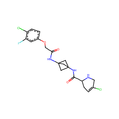 O=C(COc1ccc(Cl)c(F)c1)NC12CC(NC(=O)C3CC=C(Cl)CN3)(C1)C2